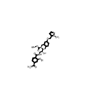 CCOc1cc(C(N)=O)ccc1C(=O)NC[C@@H](O)[C@@H]1Cc2ccc(OCc3ccnn3C)cc2CN1C(=O)OC(C)(C)C